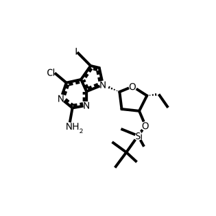 CC[C@H]1O[C@@H](n2cc(I)c3c(Cl)nc(N)nc32)CC1O[Si](C)(C)C(C)(C)C